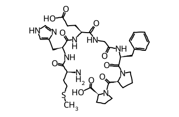 CSCC[C@H](N)C(=O)N[C@@H](Cc1c[nH]cn1)C(=O)N[C@@H](CCC(=O)O)C(=O)NCC(=O)N[C@@H](Cc1ccccc1)C(=O)N1CCC[C@H]1C(=O)N1CCC[C@H]1C(=O)O